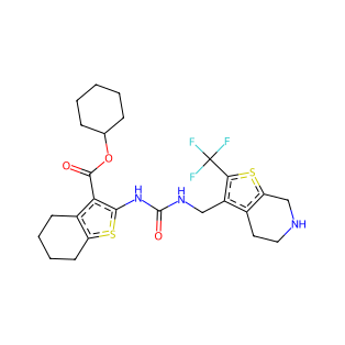 O=C(NCc1c(C(F)(F)F)sc2c1CCNC2)Nc1sc2c(c1C(=O)OC1CCCCC1)CCCC2